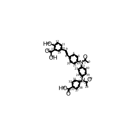 CC(=O)N(c1ccc(C=Cc2ccc(O)c(C(=O)O)c2)cc1)c1ccc(N(C(C)=O)c2ccc(C(=O)O)cc2)cc1